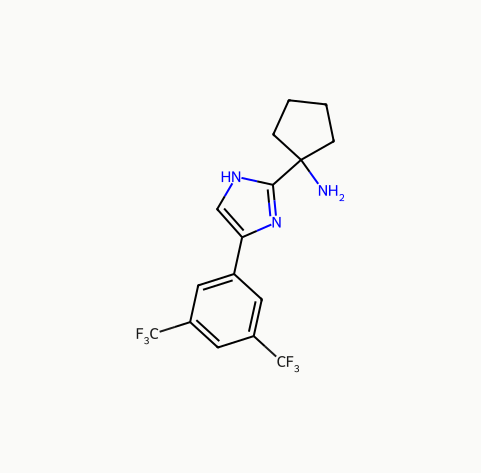 NC1(c2nc(-c3cc(C(F)(F)F)cc(C(F)(F)F)c3)c[nH]2)CCCC1